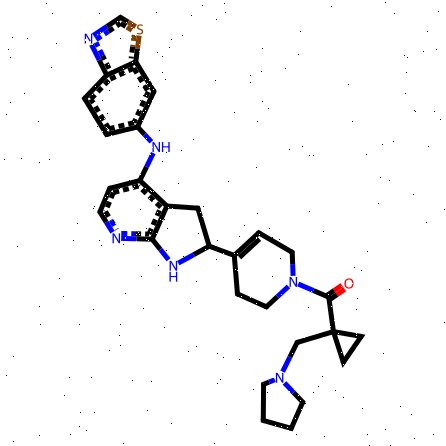 O=C(N1CC=C(C2Cc3c(Nc4ccc5ncsc5c4)ccnc3N2)CC1)C1(CN2CCCC2)CC1